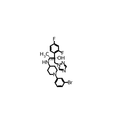 C[C@@H](NC1CCN(c2cccc(Br)c2)CC1)[C@](O)(Cn1cncn1)c1ccc(F)cc1F